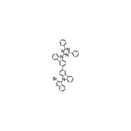 Brc1sc2ccccc2c1-n1c2ccccc2c2cc(-c3ccc4c(c3)c3ccccc3n4-c3nc(-c4ccccc4)nc(-c4ccccc4)n3)ccc21